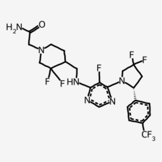 NC(=O)CN1CCC(CNc2ncnc(N3CC(F)(F)C[C@@H]3c3ccc(C(F)(F)F)cc3)c2F)C(F)(F)C1